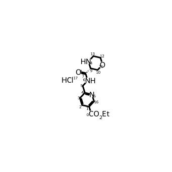 CCOC(=O)c1ccc(CNC(=O)[C@H]2COCCN2)nc1.Cl